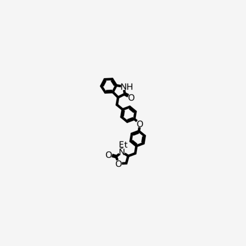 CCN1C(=O)OCC1Cc1ccc(Oc2ccc(CC3C(=O)Nc4ccccc43)cc2)cc1